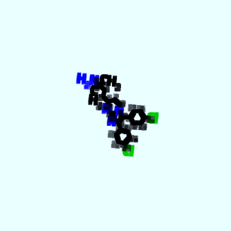 CC(C)(N)CCc1ccn2c(-c3ccc(Cl)cc3)c(-c3ccc(Cl)cc3)nc2n1